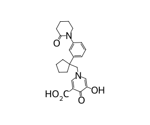 O=C(O)c1cn(CC2(c3cccc(N4CCCCC4=O)c3)CCCC2)cc(O)c1=O